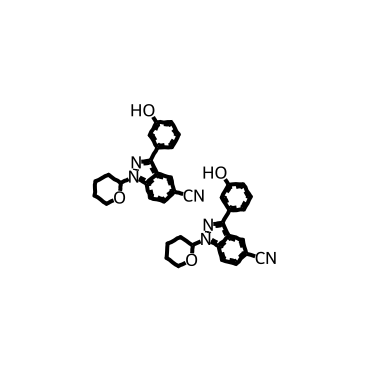 N#Cc1ccc2c(c1)c(-c1cccc(O)c1)nn2C1CCCCO1.N#Cc1ccc2c(c1)c(-c1cccc(O)c1)nn2C1CCCCO1